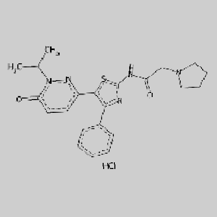 CC(C)n1nc(-c2sc(NC(=O)CN3CCCC3)nc2-c2ccccc2)ccc1=O.Cl